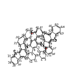 Fc1ccccc1-c1c(C2CCCCC2)c(-n2c3ccccc3c3c4sc5ccccc5c4ccc32)c(C2CCCCC2)c(-c2ccccc2F)c1-n1c2ccccc2c2c3sc4ccccc4c3ccc21